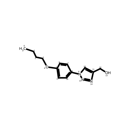 CCCCOc1ccc(-n2cc(CO)nn2)cc1